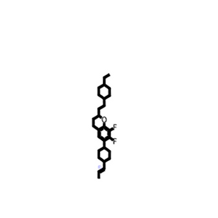 C/C=C/C1CCC(c2cc3c(c(F)c2F)OC(CCC2CCC(CC)CC2)CC3)CC1